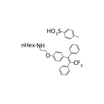 CCCCCCNCCOc1ccc(C(=C(c2ccccc2)C(F)(F)F)c2ccccc2)cc1.Cc1ccc(S(=O)(=O)O)cc1